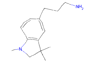 CN1CC(C)(C)c2cc(CCCN)ccc21